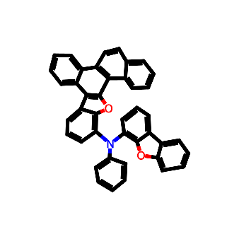 c1ccc(N(c2cccc3c2oc2ccccc23)c2cccc3c2oc2c4c5ccccc5ccc4c4ccccc4c32)cc1